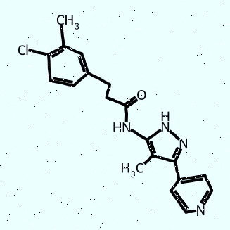 Cc1cc(CCC(=O)Nc2[nH]nc(-c3ccncc3)c2C)ccc1Cl